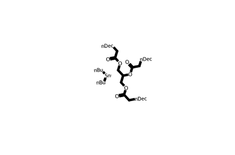 CCCCCCCCCCCC(=O)OCC(COC(=O)CCCCCCCCCCC)OC(=O)CCCCCCCCCCC.CCC[CH2][Sn][CH2]CCC